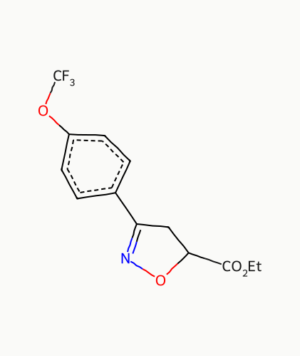 CCOC(=O)C1CC(c2ccc(OC(F)(F)F)cc2)=NO1